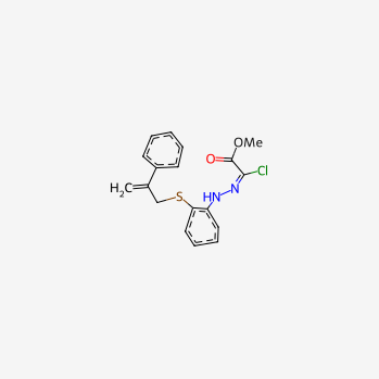 C=C(CSc1ccccc1N/N=C(/Cl)C(=O)OC)c1ccccc1